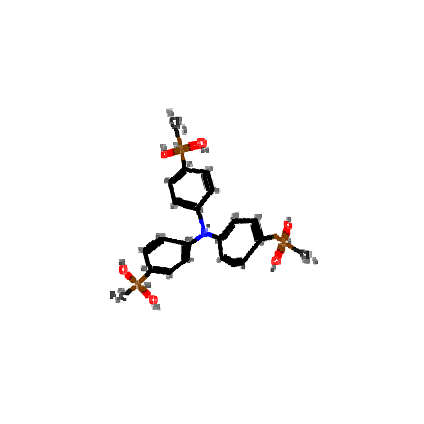 O=S(=O)(c1ccc(N(c2ccc(S(=O)(=O)C(F)(F)F)cc2)c2ccc(S(=O)(=O)C(F)(F)F)cc2)cc1)C(F)(F)F